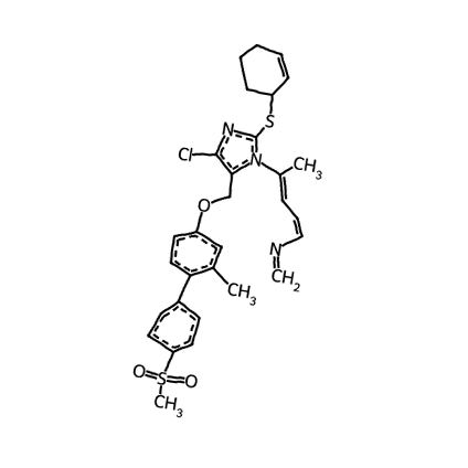 C=N/C=C\C=C(/C)n1c(SC2C=CCCC2)nc(Cl)c1COc1ccc(-c2ccc(S(C)(=O)=O)cc2)c(C)c1